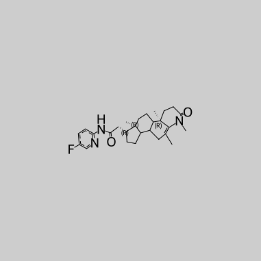 CC1=C2N(C)C(=O)CC[C@]2(C)C2CC[C@@]3(C)C(CC[C@@H]3CC(=O)Nc3ccc(F)cn3)C2C1